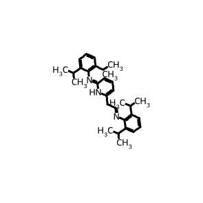 CC(C)c1cccc(C(C)C)c1N=CCc1cccc(=Nc2c(C(C)C)cccc2C(C)C)[nH]1